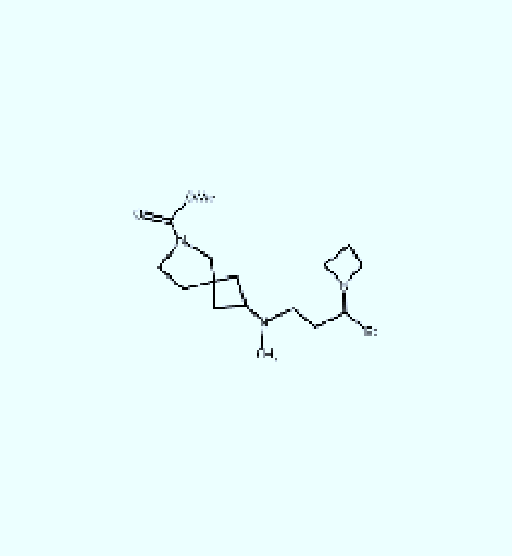 CCC(CCN(C)C1CC2(CCN(C(=O)OC)C2)C1)N1CCC1